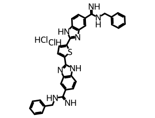 Cl.Cl.N=C(NCc1ccccc1)c1ccc2[nH]c(-c3ccc(-c4nc5cc(C(=N)NCc6ccccc6)ccc5[nH]4)s3)nc2c1